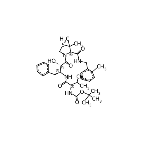 Cc1ccccc1CNC(=O)[C@H]1N(C(=O)[C@@H](O)[C@H](Cc2ccccc2)NC(=O)[C@@H](NC(=O)OC(C)(C)C)C(C)C)CSC1(C)C